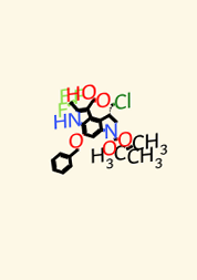 CC(C)(C)OC(=O)N1C[C@@H](CCl)c2c1cc(OCc1ccccc1)c1[nH]c(C(F)(F)F)c(C(=O)O)c21